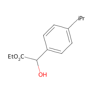 CCOC(=O)C(O)c1ccc(C(C)C)cc1